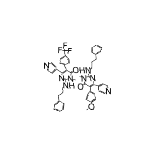 COc1ccc(-c2c(-c3ccncc3)nc(NCCCc3ccccc3)n(C)c2=O)cc1.Cn1c(NCCCc2ccccc2)nc(-c2ccncc2)c(-c2ccc(C(F)(F)F)cc2)c1=O